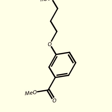 CCCCCCCCCCCOc1cccc(C(=O)OC)c1